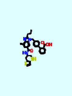 CCCc1nc2c(C)cc(C(=O)N[C@@H](CS)Cc3cccs3)cc2n1Cc1ccc(-c2ccccc2C(=O)O)cc1